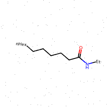 C[CH]NC(=O)CCCCCCCCCCC